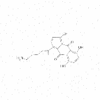 NCCCCNc1ccc(O)c2c1C(=O)c1c(O)ccc(O)c1C2=O